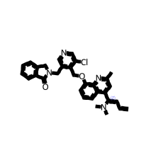 C=C/C=C(/c1cc(C)nc2c(OCc3c(Cl)cncc3CN3Cc4ccccc4C3=O)cccc12)N(C)C